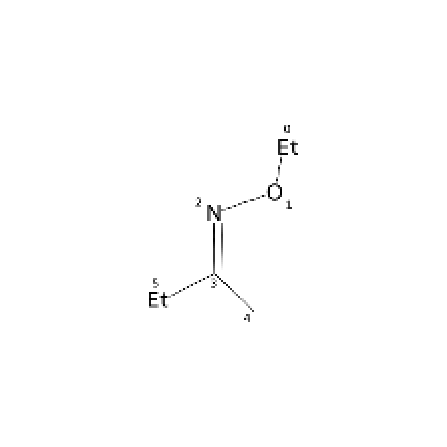 CCON=C(C)CC